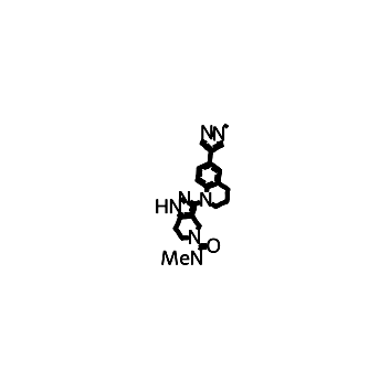 CNC(=O)N1CCc2[nH]nc(N3CCCc4cc(-c5cnn(C)c5)ccc43)c2C1